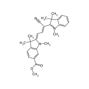 COC(=O)c1ccc2c(c1)N(C)/C(=C\C=C(/C#N)C1=[N+](C)c3ccccc3C1(C)C)C2(C)C